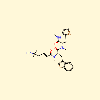 CNC(=O)[C@@H](Cc1cccs1)N(C)C(=O)[C@@H](Cc1csc2ccccc12)N(C)C(=O)/C=C/CC(C)(C)N